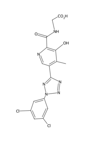 Cc1c(-c2nnn(-c3cc(Cl)cc(Cl)c3)n2)cnc(C(=O)NCC(=O)O)c1O